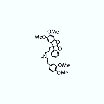 COc1ccc(CCN(C)CCC[C@]2(c3ccccc3)C(=O)Oc3cc(OC)c(OC)cc32)cc1OC